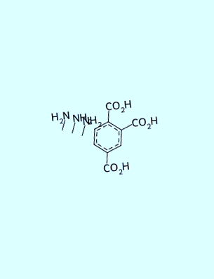 CN.CN.CN.O=C(O)c1ccc(C(=O)O)c(C(=O)O)c1